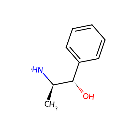 C[C@@H]([NH])[C@@H](O)c1ccccc1